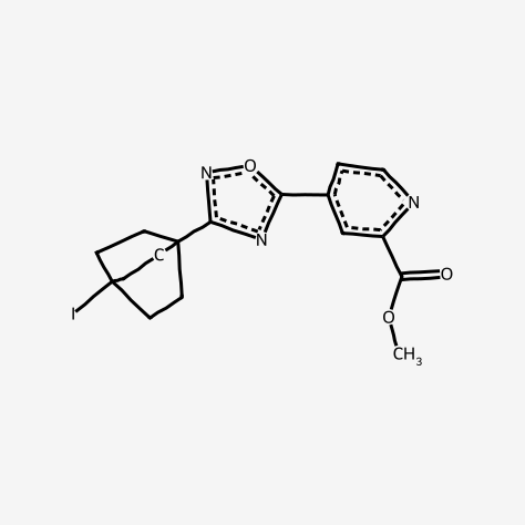 COC(=O)c1cc(-c2nc(C34CCC(I)(CC3)CC4)no2)ccn1